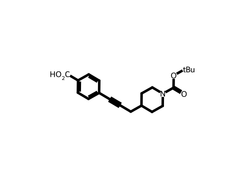 CC(C)(C)OC(=O)N1CCC(CC#Cc2ccc(C(=O)O)cc2)CC1